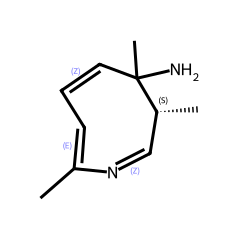 CC1=C\C=C/C(C)(N)[C@H](C)/C=N\1